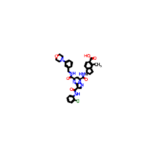 Cc1c(C(=O)O)ccc2c1CC[C@@H]2NC(=O)c1cc(C(=O)NCc2cccc(N3CCOCC3)c2)nc2c(C(=O)Nc3ccccc3Cl)cnn12